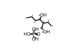 CCCC(O)C(CC)CO.O=P(O)(O)O